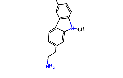 COc1ccc2c(c1)c1ccc(CCN)cc1n2C